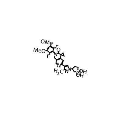 COc1cc(OC)c(F)c(N2Cc3cnc(-c4cn(C5CCS(O)(O)C5)nc4C)cc3C3(CC3)C2=O)c1F